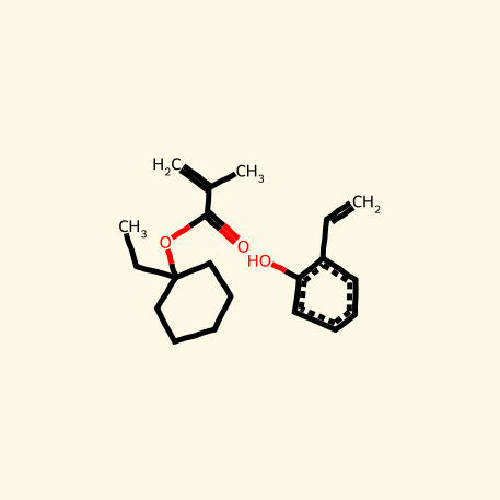 C=C(C)C(=O)OC1(CC)CCCCC1.C=Cc1ccccc1O